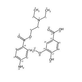 CCN(CC)CCOC(=O)c1ccc(N)cc1.COc1cc(C(=O)O)ccc1O